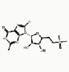 C=P(C)(C)CCC1O[C@@H](n2c(CC)nc3c(=O)[nH]c(C)nc32)[C@H](O)[C@@H]1O